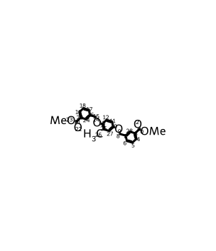 COC(=O)c1cccc(COc2ccc(OCc3cccc(C(=O)OC)c3)c(C)c2)c1